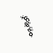 O=C1C(N[C@@H]2C[C@H]3CCC[C@@]3(C(=O)N3CCc4ncc(C(F)(F)F)cc4C3)C2)CCN1c1ccc(F)cc1